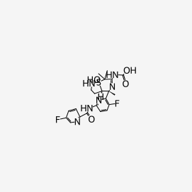 CC1(C)C(NC(=O)O)=N[C@](C)(c2nc(NC(=O)c3ccc(F)cn3)ccc2F)[C@@H]2CCN[S@@]21O